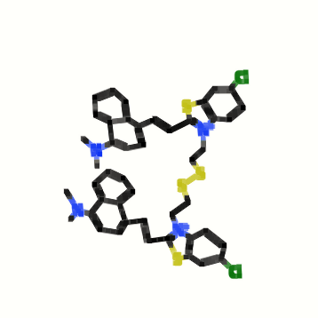 CN(C)c1ccc(/C=C/c2sc3cc(Cl)ccc3[n+]2CCSSCC[n+]2c(/C=C/c3ccc(N(C)C)c4ccccc34)sc3cc(Cl)ccc32)c2ccccc12